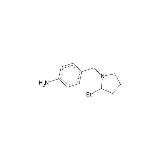 CCC1CCCN1Cc1ccc(N)cc1